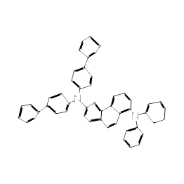 C1=CCCC(N(c2ccccc2)c2cccc3c2ccc2ccc(N(c4ccc(-c5ccccc5)cc4)c4ccc(-c5ccccc5)cc4)cc23)=C1